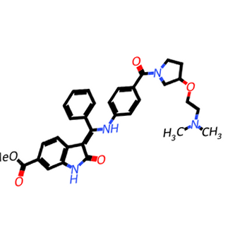 COC(=O)c1ccc2c(c1)NC(=O)/C2=C(\Nc1ccc(C(=O)N2CCC(OCCN(C)C)C2)cc1)c1ccccc1